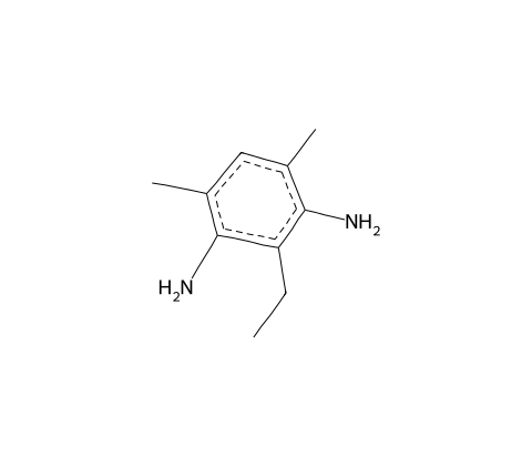 CCc1c(N)c(C)cc(C)c1N